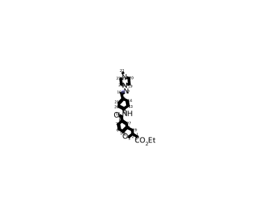 CCOC(=O)CC1COc2ccc(C(=O)Nc3ccc(/C=N/N4CCN(C)CC4)cc3)cc2C1